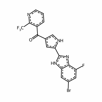 O=C(c1c[nH]c(-c2nc3c(F)cc(Br)cc3[nH]2)c1)c1cccnc1C(F)(F)F